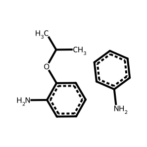 CC(C)Oc1ccccc1N.Nc1ccccc1